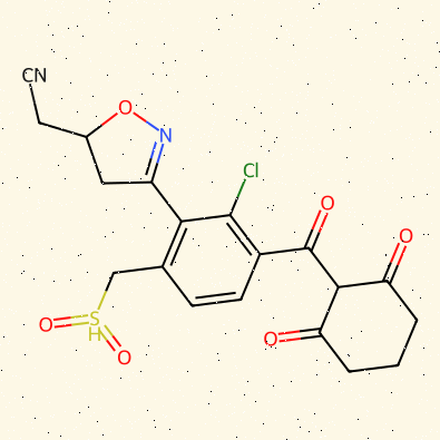 N#CCC1CC(c2c(C[SH](=O)=O)ccc(C(=O)C3C(=O)CCCC3=O)c2Cl)=NO1